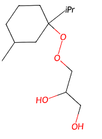 CC1CCCC(OOCC(O)CO)(C(C)C)C1